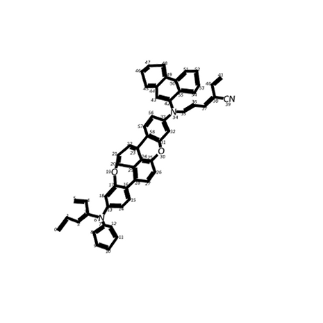 C=C/C=C(\C=C)N(c1ccccc1)c1ccc2c(c1)Oc1ccc3c4c(ccc-2c14)Oc1cc(N(/C=C/C=C(/C#N)C=C)c2cc4ccccc4c4ccccc24)ccc1-3